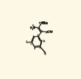 Cc1cc(C)cc(C(C#N)=C(N)C(C)(C)C)c1